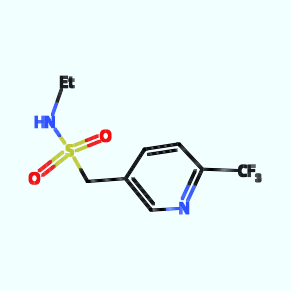 CCNS(=O)(=O)Cc1ccc(C(F)(F)F)nc1